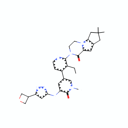 CCc1c(-c2cc(Nc3cc(C4COC4)[nH]n3)c(=O)n(C)c2)ccnc1N1CCn2c(cc3c2CC(C)(C)C3)C1=O